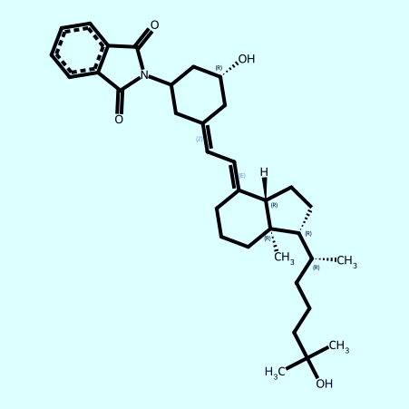 C[C@H](CCCC(C)(C)O)[C@H]1CC[C@H]2/C(=C/C=C3/CC(N4C(=O)c5ccccc5C4=O)C[C@H](O)C3)CCC[C@]12C